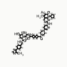 CC(=O)c1c(C)c2cnc(Nc3ccc(N4CCN(C(=O)C5CC6(CC(C(=O)NC(C(=O)N7C[C@H](O)C[C@H]7C(=O)NCc7ccc(-c8scnc8C)cc7)C(C)(C)C)C6)C5)CC4)cn3)nc2n(C2CCCC2)c1=O